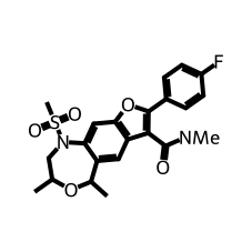 CNC(=O)c1c(-c2ccc(F)cc2)oc2cc3c(cc12)C(C)OC(C)CN3S(C)(=O)=O